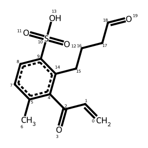 C=CC(=O)c1c(C)ccc(S(=O)(=O)O)c1CCCC=O